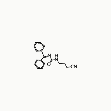 N#CCCCNC(=O)N=C(c1ccccc1)c1ccccc1